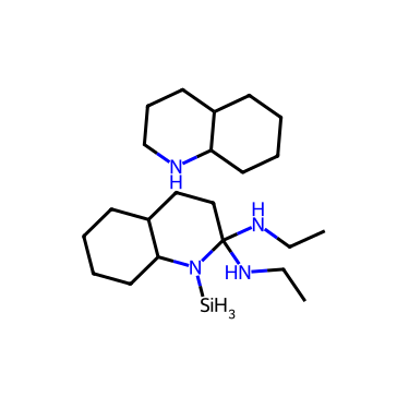 C1CCC2NCCCC2C1.CCNC1(NCC)CCC2CCCCC2N1[SiH3]